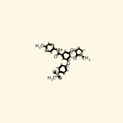 Cc1cnc(NC(=O)c2cc(Oc3ccc(S(C)(=O)=O)cc3)cc(O[C@H]3CCN(C)C3=O)c2)cn1